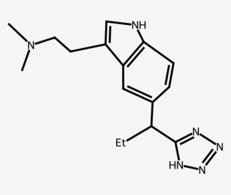 CCC(c1ccc2[nH]cc(CCN(C)C)c2c1)c1nnn[nH]1